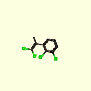 CC(=C(Cl)Cl)c1cccc(Cl)c1Cl